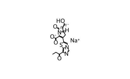 CCC(=O)c1ncn2cc(C3=C(C(=O)[O-])N4C(=O)[C@H]([C@@H](C)O)[C@H]4C3)sc12.[Na+]